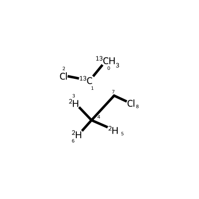 [13CH3][13CH2]Cl.[2H]C([2H])([2H])CCl